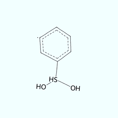 O[SH](O)c1c[c]ccc1